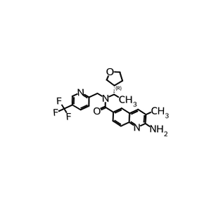 Cc1cc2cc(C(=O)N(Cc3ccc(C(F)(F)F)cn3)C(C)[C@H]3CCOC3)ccc2nc1N